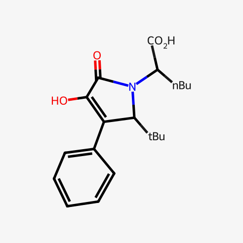 CCCCC(C(=O)O)N1C(=O)C(O)=C(c2ccccc2)C1C(C)(C)C